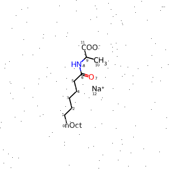 CCCCCCCCCCCCCC(=O)NC(C)C(=O)[O-].[Na+]